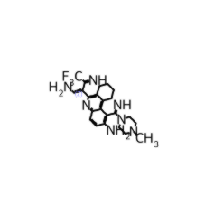 CN1CCN(C(=N)c2c(N)ccc3nc(/C(=C/N)C(=N)C(F)(F)F)c4c(c23)CCCC4)CC1